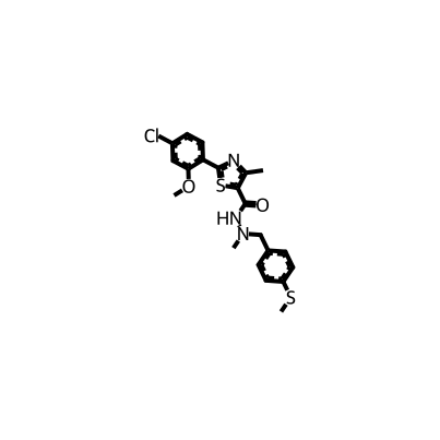 COc1cc(Cl)ccc1-c1nc(C)c(C(=O)NN(C)Cc2ccc(SC)cc2)s1